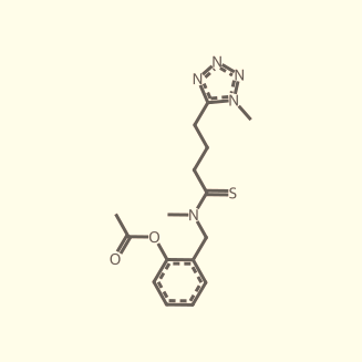 CC(=O)Oc1ccccc1CN(C)C(=S)CCCc1nnnn1C